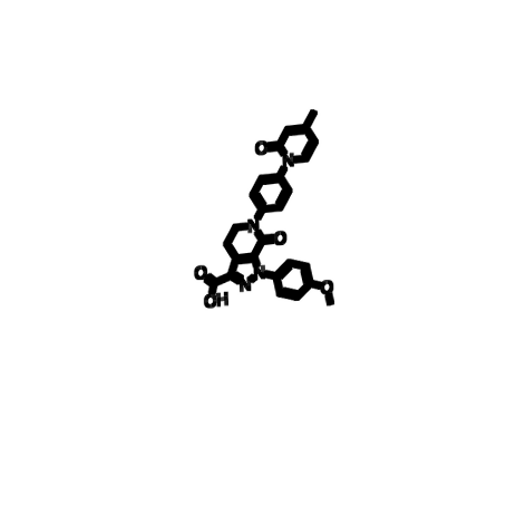 COc1ccc(-n2nc(C(=O)O)c3c2C(=O)N(c2ccc(-n4ccc(C)cc4=O)cc2)CC3)cc1